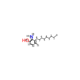 CCCCCCCCCc1c(C)ccc(O)c1N(C)C